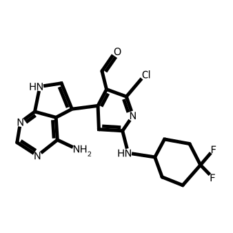 Nc1ncnc2[nH]cc(-c3cc(NC4CCC(F)(F)CC4)nc(Cl)c3C=O)c12